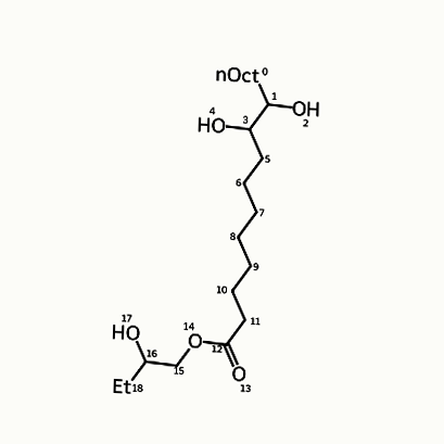 CCCCCCCCC(O)C(O)CCCCCCCC(=O)OCC(O)CC